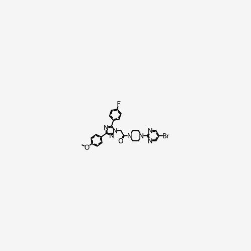 COc1ccc(-c2nc(-c3ccc(F)cc3)n(CC(=O)N3CCN(c4ncc(Br)cn4)CC3)n2)cc1